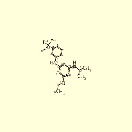 CCOc1nc(Nc2cccc(C(F)(F)F)c2)nc(NC(C)C)n1